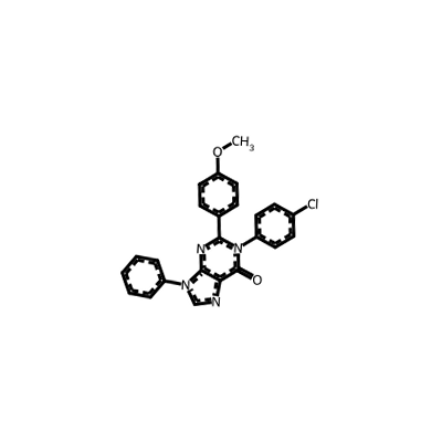 COc1ccc(-c2nc3c(ncn3-c3ccccc3)c(=O)n2-c2ccc(Cl)cc2)cc1